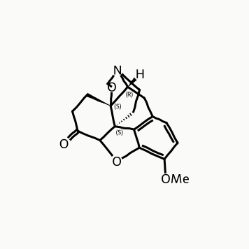 COc1ccc2c3c1OC1C(=O)CC[C@]45OCN(CC[C@]314)[C@@H]5C2